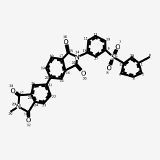 Cc1cccc(S(=O)(=O)c2cccc(N3C(=O)c4ccc(-c5ccc6c(c5)C(=O)N(C)C6=O)cc4C3=O)c2)c1